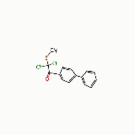 N#CSC(Cl)(Cl)C(=O)c1ccc(-c2ccccc2)cc1